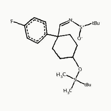 CC(C)(C)[S+]([O-])/N=C\C1(c2ccc(F)cc2)CCC(O[Si](C)(C)C(C)(C)C)CC1